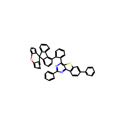 c1ccc(-c2ccc3c(c2)sc2c(-c4ccccc4-c4cccc5c4-c4ccccc4C54c5ccccc5Oc5ccccc54)nc(-c4ccccc4)nc23)cc1